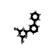 Brc1nc(Br)nc(-c2cccc(-c3ccccc3)c2)n1